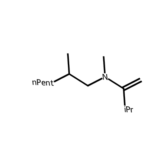 C=C(C(C)C)N(C)CC(C)CCCCC